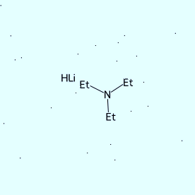 [CH2]CN(CC)CC.[LiH]